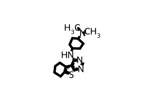 CN(C)C1CCC(Nc2ncnc3sc4c(c23)CCCC4)CC1